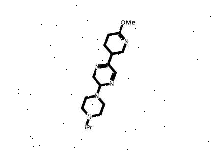 COC1=NCC(C2=NCC(N3CCN(C(C)C)CC3)N=C2)CC1